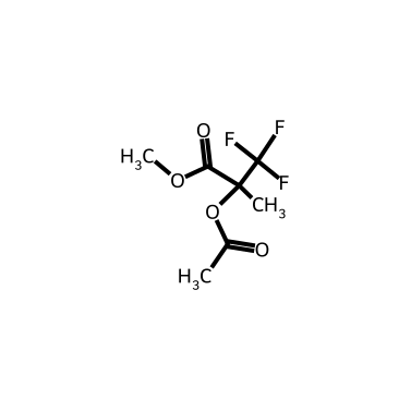 COC(=O)C(C)(OC(C)=O)C(F)(F)F